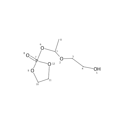 CC(OCCO)OP1(=O)OCCO1